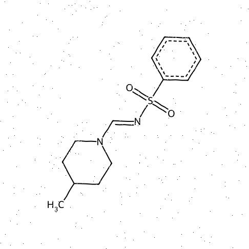 CC1CCN(C=NS(=O)(=O)c2ccccc2)CC1